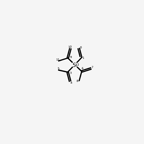 C=C[Si](C(=C)C)(C(=C)C)C(=C)C